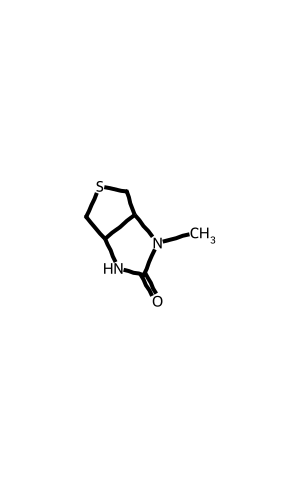 CN1C(=O)NC2CSCC21